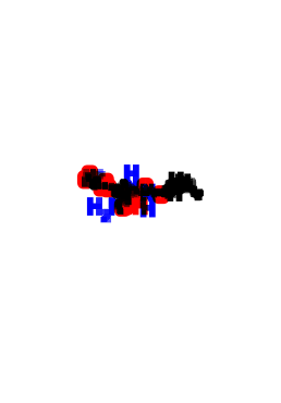 CC[C@H](C)[C@H](NC(=O)CCC(=O)NCCCOC1CC[C@@]2(C)C(=CC[C@H]3[C@@H]4CC[C@H]([C@H](C)CCCC(C)C)[C@@]4(C)CC[C@@H]32)C1)C(=O)N(c1ccc(COC(=O)Oc2ccc([N+](=O)[O-])cc2)cc1)[C@@H](CC(N)=O)C(=O)O